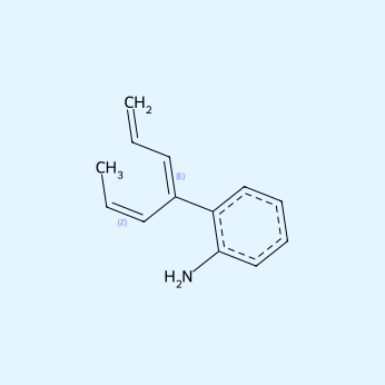 C=C/C=C(\C=C/C)c1ccccc1N